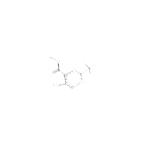 COC(=O)c1nc(C(F)(F)F)ncc1N